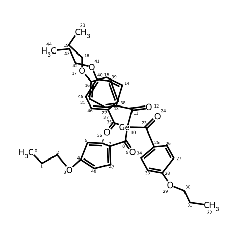 CCCOc1ccc([C](=O)[Ge]([C](=O)c2ccc(OCCC)cc2)([C](=O)c2ccc(OCCC)cc2)[C](=O)c2ccc(OCCC)cc2)cc1